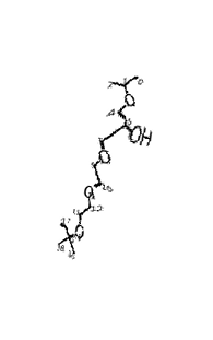 CC(C)OCC(O)COCCOCCOC(C)(C)C